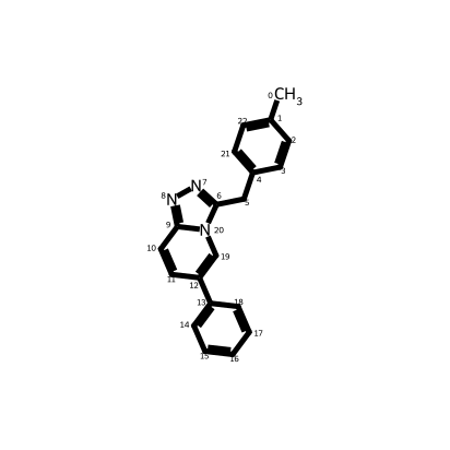 Cc1ccc(Cc2nnc3ccc(-c4ccccc4)cn23)cc1